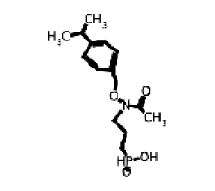 CC(=O)N(CCC[PH](=O)O)OCc1ccc(C(C)C)cc1